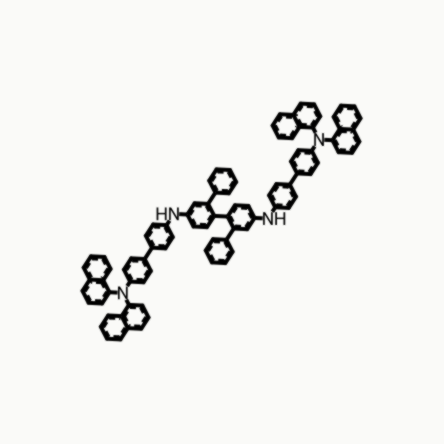 c1ccc(-c2cc(Nc3ccc(-c4ccc(N(c5cccc6ccccc56)c5cccc6ccccc56)cc4)cc3)ccc2-c2ccc(Nc3ccc(-c4ccc(N(c5cccc6ccccc56)c5cccc6ccccc56)cc4)cc3)cc2-c2ccccc2)cc1